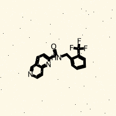 O=C(NCc1ccccc1C(F)(F)F)c1ccc2cnccc2n1